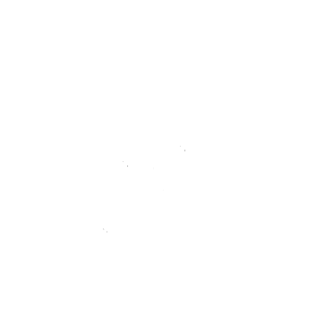 CNC(=S)C1(c2cccnc2)CCCCC1=NOC(C)(C)C